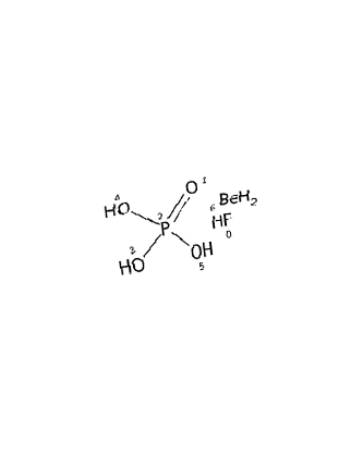 F.O=P(O)(O)O.[BeH2]